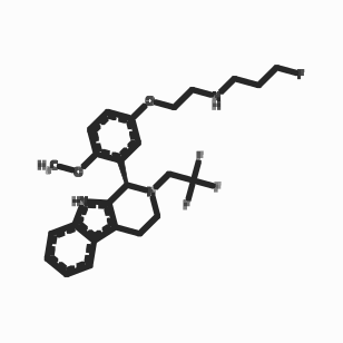 COc1ccc(OCCNCCCF)cc1[C@@H]1c2[nH]c3ccccc3c2CCN1CC(F)(F)F